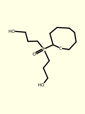 O=P(CCCO)(CCCO)C1CCCCCCC1